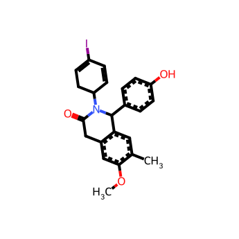 COc1cc2c(cc1C)C(c1ccc(O)cc1)N(C1C=CC(I)=CC1)C(=O)C2